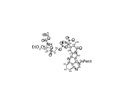 CCCCCn1cnc2c3c(nc4c(cn5c(=O)c6c(cc45)[C@](CC)(OC(=O)OCCS(=O)(=O)C[C@H](NC(=O)OC(C)(C)C)C(=O)OCC)C(=O)OC6)c31)=CCC=2